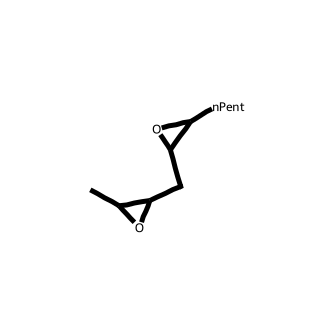 CCCCCC1OC1CC1OC1C